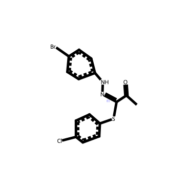 CC(=O)/C(=N\Nc1ccc(Br)cc1)Sc1ccc(Cl)cc1